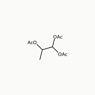 CC(=O)OC(C)C(OC(C)=O)OC(C)=O